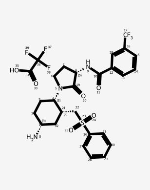 N[C@@H]1CC[C@H](N2CC[C@H](NC(=O)c3cccc(C(F)(F)F)c3)C2=O)[C@H](CS(=O)(=O)c2ccccc2)C1.O=C(O)C(F)(F)F